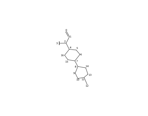 C=CC(I)C1CCC(C2CCC(C)CC2)CC1